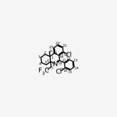 CC12CCCCC1(CC(F)(F)F)N=C(c1ccccc1Cl)c1c(Cl)cccc12